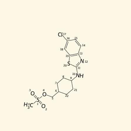 CS(=O)(=O)OCC1CCC(Nc2nc3ccc(Cl)cc3s2)CC1